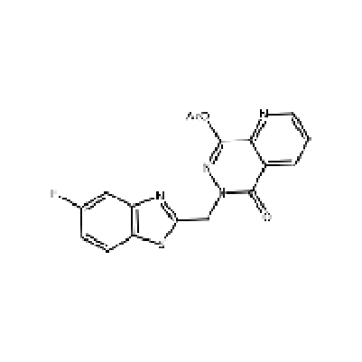 CC(=O)Oc1nn(Cc2nc3cc(F)ccc3s2)c(=O)c2cccnc12